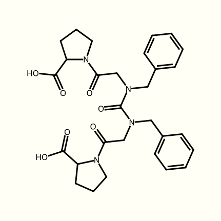 O=C(O)C1CCCN1C(=O)CN(Cc1ccccc1)C(=O)N(CC(=O)N1CCCC1C(=O)O)Cc1ccccc1